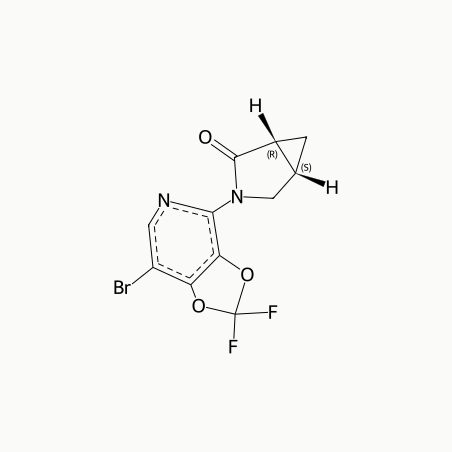 O=C1[C@@H]2C[C@@H]2CN1c1ncc(Br)c2c1OC(F)(F)O2